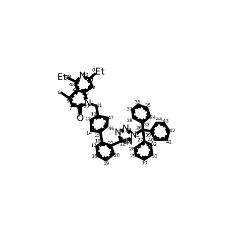 CCc1cc2c(c(C)cc(=O)n2Cc2ccc(-c3ccccc3-c3nnn(C(c4ccccc4)(c4ccccc4)c4ccccc4)n3)cc2)c(CC)n1